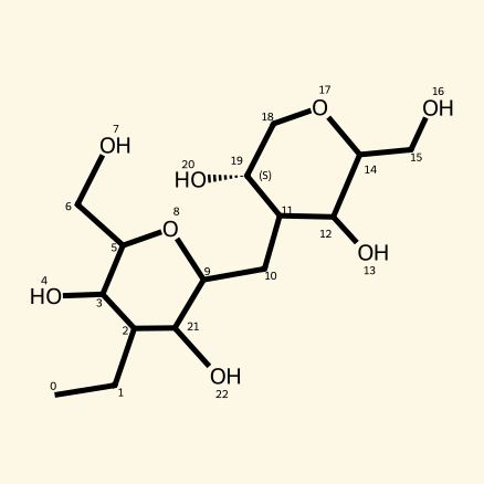 CCC1C(O)C(CO)OC(CC2C(O)C(CO)OC[C@H]2O)C1O